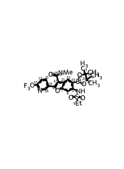 CCS(=O)(=O)Nc1cc2oc(-c3ccc(C(F)(F)F)nc3)c(C(=O)NC)c2cc1B1OC(C)(C)C(C)(C)O1